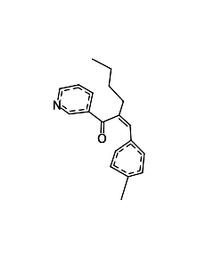 CCCC/C(=C/c1ccc(C)cc1)C(=O)c1cccnc1